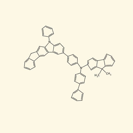 CC1(C)c2ccccc2-c2ccc(N(c3ccc(-c4ccccc4)cc3)c3ccc(-c4ccc5c(c4)c4cc6c(cc4n5-c4ccccc4)Cc4ccccc4-6)cc3)cc21